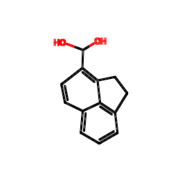 OC(O)c1ccc2cccc3c2c1CC3